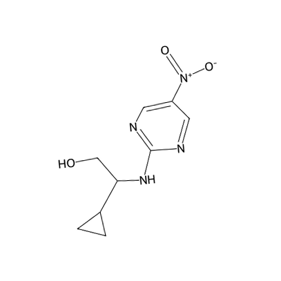 O=[N+]([O-])c1cnc(NC(CO)C2CC2)nc1